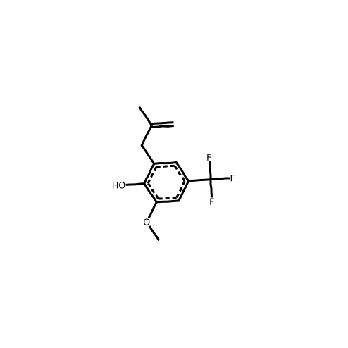 C=C(C)Cc1cc(C(F)(F)F)cc(OC)c1O